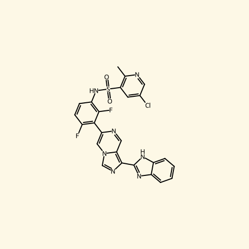 Cc1ncc(Cl)cc1S(=O)(=O)Nc1ccc(F)c(-c2cn3cnc(-c4nc5ccccc5[nH]4)c3cn2)c1F